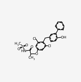 CC(Oc1cc(Cl)c(Cc2ccc(O)c(-c3ccccc3)c2)c(Cl)c1)C(=O)NS(C)(=O)=O